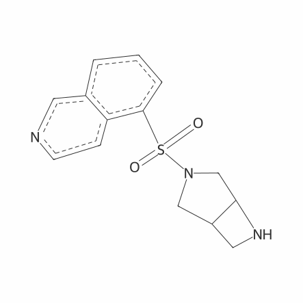 O=S(=O)(c1cccc2cnccc12)N1CC2CNC2C1